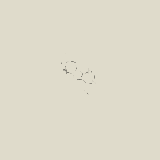 Cc1nnc2oc3c(NC4CCOCC4)ncnc3c2c1C